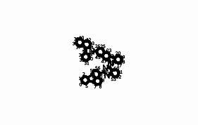 c1ccc2c(c1)-c1cccc3c(-c4nc(-n5c6ccccc6c6cc7ccc(-n8c9ccccc9c9c%10ccccc%10ccc98)cc7cc65)c5ccccc5n4)ccc-2c13